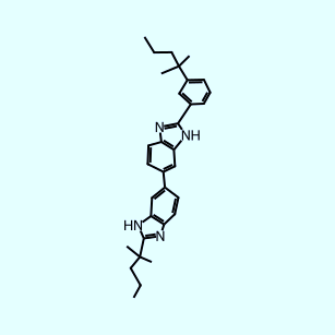 CCCC(C)(C)c1cccc(-c2nc3ccc(-c4ccc5nc(C(C)(C)CCC)[nH]c5c4)cc3[nH]2)c1